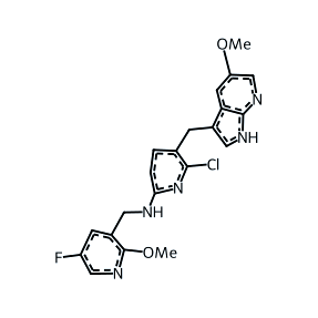 COc1cnc2[nH]cc(Cc3ccc(NCc4cc(F)cnc4OC)nc3Cl)c2c1